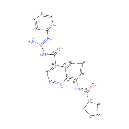 NC(=Nc1ccccc1)NC(=O)c1ccnc2c(NC(=O)C3CCCC3)cccc12